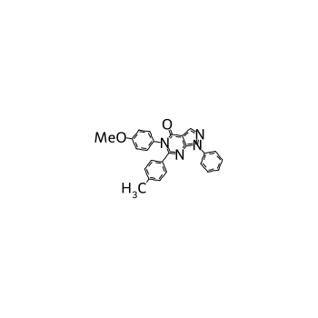 COc1ccc(-n2c(-c3ccc(C)cc3)nc3c(cnn3-c3ccccc3)c2=O)cc1